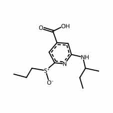 CCC[S+]([O-])c1cc(C(=O)O)cc(NC(C)CC)n1